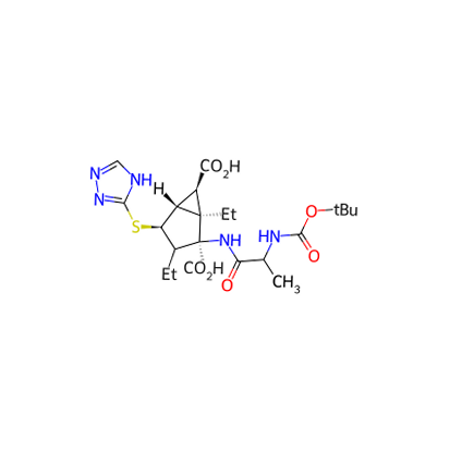 CCC1[C@@H](Sc2nnc[nH]2)[C@@H]2[C@@H](C(=O)O)[C@@]2(CC)[C@]1(NC(=O)C(C)NC(=O)OC(C)(C)C)C(=O)O